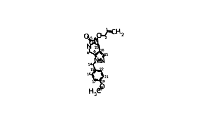 C=CCON1C(=O)N2Cc3c(cnn3Cc3ccc(OC)cc3)C1C2